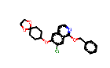 Clc1cc2c(OCc3ccccc3)nccc2cc1OC1CCC2(CC1)OCCO2